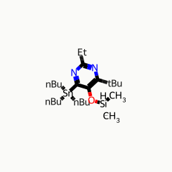 CCC[CH2][Sn]([CH2]CCC)([CH2]CCC)[c]1nc(CC)nc(C(C)(C)C)c1O[SiH](C)C